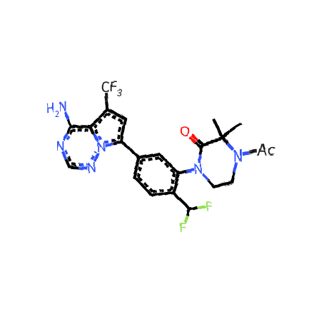 CC(=O)N1CCN(c2cc(-c3cc(C(F)(F)F)c4c(N)ncnn34)ccc2C(F)F)C(=O)C1(C)C